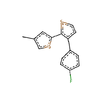 Cc1csc(-c2sccc2-c2ccc(F)cc2)c1